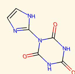 O=c1[nH]c(=O)n(-c2ncc[nH]2)c(=O)[nH]1